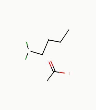 CC(=O)O.CCC[CH2][Sn]([F])[F]